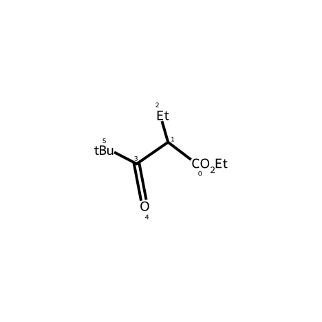 CCOC(=O)C(CC)C(=O)C(C)(C)C